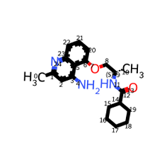 Cc1cc(N)c2c(OC[C@H](C)NC(=O)C3CCCCC3)cccc2n1